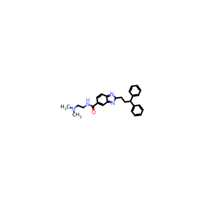 CN(C)CCNC(=O)c1ccc2c(c1)=NC(CCC(c1ccccc1)c1ccccc1)N=2